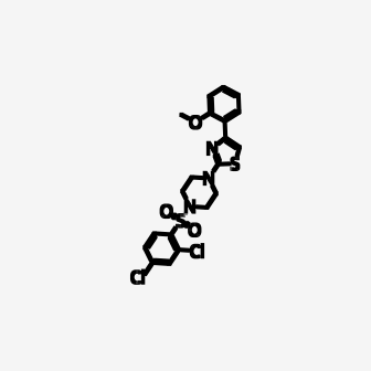 COc1ccccc1-c1csc(N2CCN(S(=O)(=O)c3ccc(Cl)cc3Cl)CC2)n1